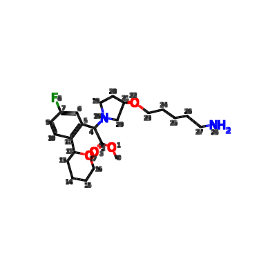 COC(=O)C(c1cc(F)ccc1C1CCCCO1)N1CC[C@@H](OCCCCCN)C1